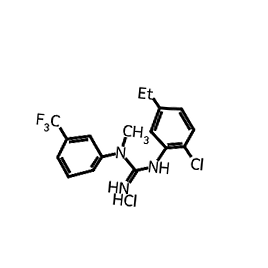 CCc1ccc(Cl)c(NC(=N)N(C)c2cccc(C(F)(F)F)c2)c1.Cl